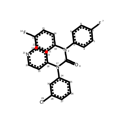 O=C(N(c1ccc(F)cc1)c1ccc(F)cc1)N(c1ccncc1)c1cccc(Cl)c1